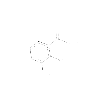 CCCCc1cccc(NC(=O)OCC)c1C(=O)O